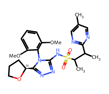 COc1cccc(OC)c1-n1c(NS(=O)(=O)C(C)C(C)c2ncc(C)cn2)nnc1[C@@H]1CCCO1